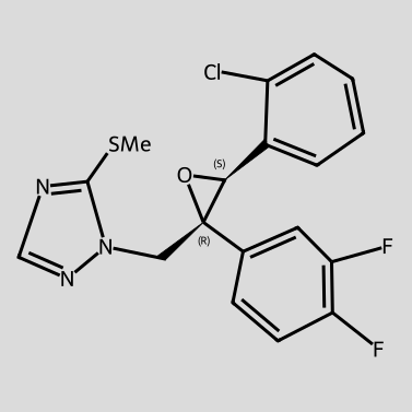 CSc1ncnn1C[C@@]1(c2ccc(F)c(F)c2)O[C@H]1c1ccccc1Cl